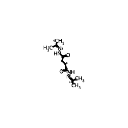 CC(C)=NNC(=O)CCC(=O)NN=C(C)C